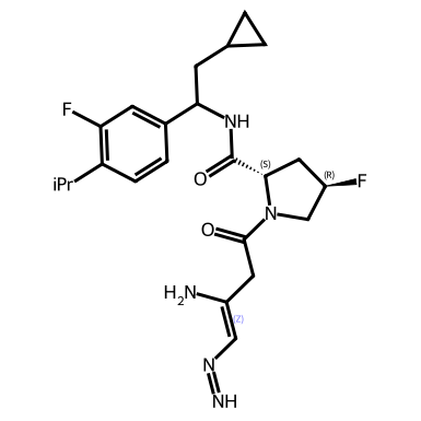 CC(C)c1ccc(C(CC2CC2)NC(=O)[C@@H]2C[C@@H](F)CN2C(=O)C/C(N)=C/N=N)cc1F